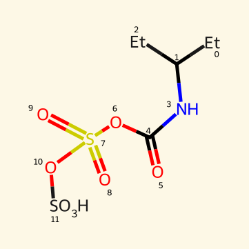 CCC(CC)NC(=O)OS(=O)(=O)OS(=O)(=O)O